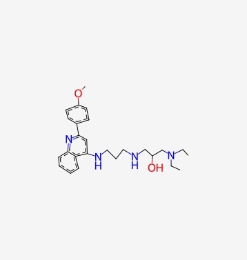 CCN(CC)CC(O)CNCCCNc1cc(-c2ccc(OC)cc2)nc2ccccc12